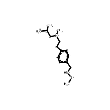 CSNCc1ccc(CCN(C)CC(C)C)cc1